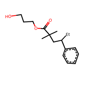 CCC(CC(C)(C)C(=O)OCCCO)c1ccccc1